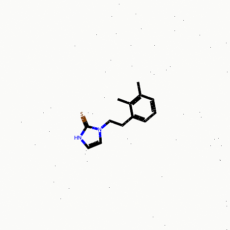 Cc1cccc(CCn2cc[nH]c2=S)c1C